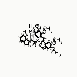 COc1cc2c(cc1OC)C(Cc1ccc(OC)c(OC)c1OC)N(CC(=O)NC1CCc3ccccc31)CC2